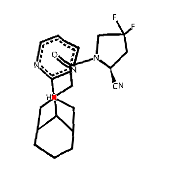 N#C[C@@H]1CC(F)(F)CN1C(=O)CNC1C2CCCC1CN(c1ncccn1)C2